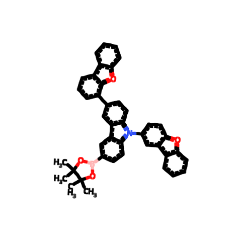 CC1(C)OB(c2ccc3c(c2)c2cc(-c4cccc5c4oc4ccccc45)ccc2n3-c2ccc3oc4ccccc4c3c2)OC1(C)C